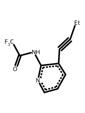 CCC#Cc1cccnc1NC(=O)C(F)(F)F